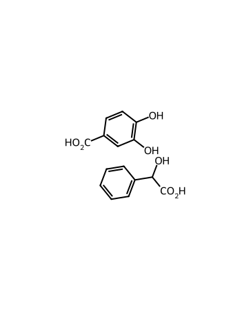 O=C(O)C(O)c1ccccc1.O=C(O)c1ccc(O)c(O)c1